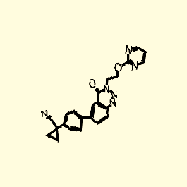 N#CC1(c2ccc(-c3ccc4nnn(CCOc5ncccn5)c(=O)c4c3)cc2)CC1